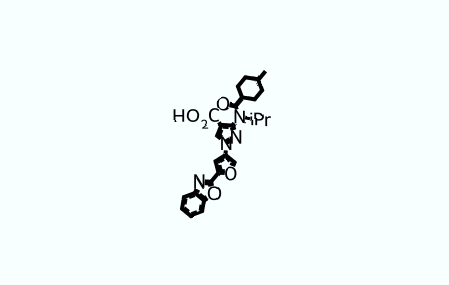 CC1CCC(C(=O)N(c2nn(-c3coc(-c4nc5ccccc5o4)c3)cc2C(=O)O)C(C)C)CC1